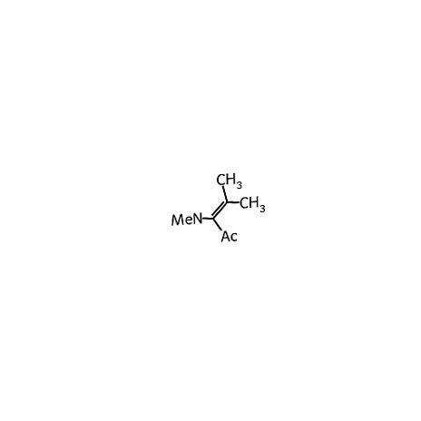 CNC(C(C)=O)=C(C)C